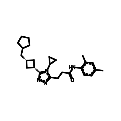 Cc1ccc(NC(=O)CCc2nnc([C@H]3C[C@@H](CC4CCCC4)C3)n2C2CC2)c(C)c1